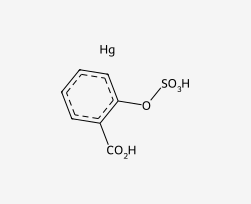 O=C(O)c1ccccc1OS(=O)(=O)O.[Hg]